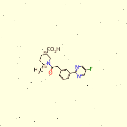 C[C@H]1CC[C@@H](C(=O)O)CN1C(=O)Cc1cccc(-c2ncc(F)cn2)c1